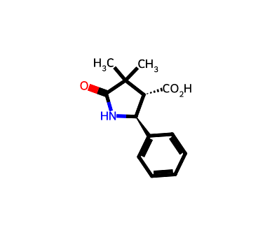 CC1(C)C(=O)N[C@H](c2ccccc2)[C@H]1C(=O)O